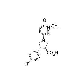 Cn1nc(N2C[C@@H](C(=O)O)[C@H](c3ccc(Cl)cn3)C2)ccc1=O